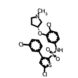 CN1CC[C@@H](Oc2cc(NS(=O)(=O)c3sc(Cl)cc3-c3cccc(Cl)c3)ccc2Cl)C1